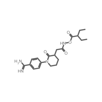 CCC(CC)C(=O)ONC(=O)CC1CCCN(c2ccc(C(=N)N)cc2)C1=O